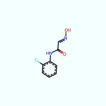 O=C(/C=N/O)Nc1ccccc1F